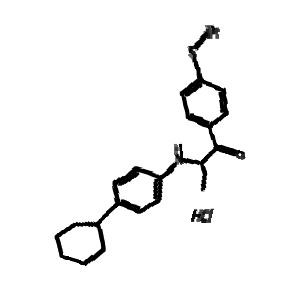 CC(C)Sc1ccc(C(=O)C(C)Nc2ccc(C3CCCCC3)cc2)cc1.Cl